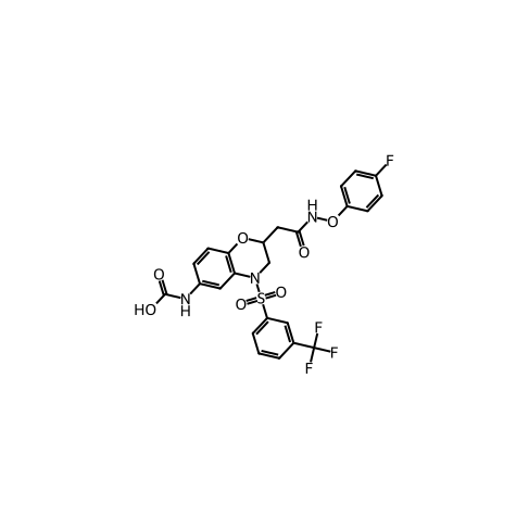 O=C(O)Nc1ccc2c(c1)N(S(=O)(=O)c1cccc(C(F)(F)F)c1)CC(CC(=O)NOc1ccc(F)cc1)O2